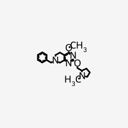 COc1nc(OCC2CCCN2C)nc2c1CCN(Cc1ccccc1)C2